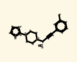 Cc1cccc(C#CCN2CCN(c3nccs3)CC2)c1.Cl